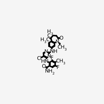 CCN1C(=O)CCC(C)(C)c2ccc(Nc3ncc(Cl)c(Nc4c(C(N)=O)cc(F)c(C)c4F)n3)cc21